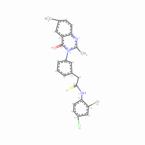 Cc1ccc2nc(C)n(-c3cccc(CC(=S)Nc4ccc(Cl)cc4Br)c3)c(=O)c2c1